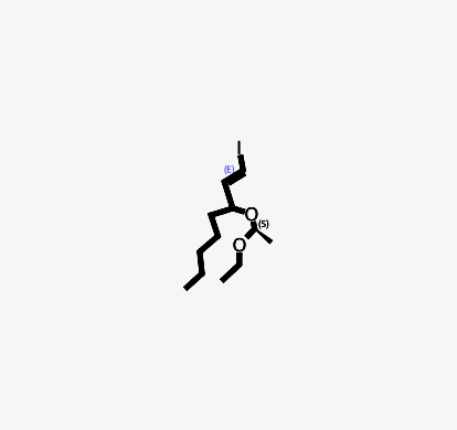 CCCCCC(/C=C/I)O[C@@H](C)OCC